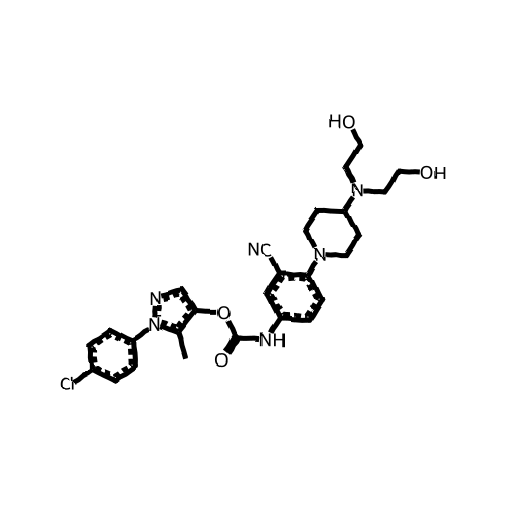 Cc1c(OC(=O)Nc2ccc(N3CCC(N(CCO)CCO)CC3)c(C#N)c2)cnn1-c1ccc(Cl)cc1